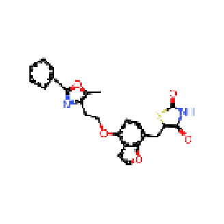 Cc1oc(-c2ccccc2)nc1CCOc1ccc(CC2SC(=O)NC2=O)c2occc12